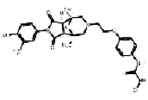 CCNC(=O)Nc1ccc(OCCN2C[C@@]3(C)O[C@@](C)(C2)C2C(=O)N(c4ccc(C#N)c(C(F)(F)F)c4)C(=O)[C@H]23)cc1